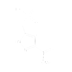 COC(=O)c1cc(OS(=O)(=O)C(F)(F)F)[nH]n1